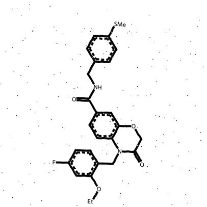 CCOc1cc(F)ccc1CN1C(=O)COc2cc(C(=O)NCc3ccc(SC)cc3)ccc21